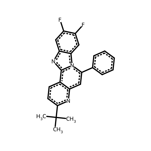 CC(C)(C)c1ccc2c(cc(-c3ccccc3)n3c4cc(F)c(F)cc4nc23)n1